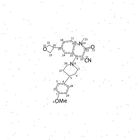 COc1ccc(C2CCN(c3c(C#N)c(=O)n(C)c4ccc(C5COC5)cc34)CC2)cc1